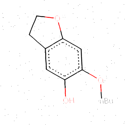 CCCCOc1cc2c(cc1O)CCO2